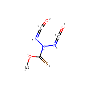 CCOC(=S)N(N=C=O)N=C=O